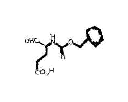 O=C[C@H](CCC(=O)O)NC(=O)OCc1ccccc1